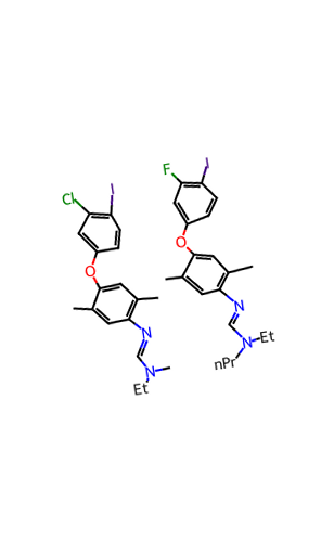 CCCN(C=Nc1cc(C)c(Oc2ccc(I)c(F)c2)cc1C)CC.CCN(C)C=Nc1cc(C)c(Oc2ccc(I)c(Cl)c2)cc1C